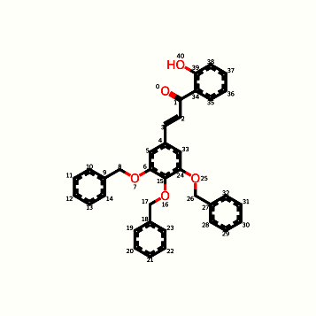 O=C(C=Cc1cc(OCc2ccccc2)c(OCc2ccccc2)c(OCc2ccccc2)c1)c1ccccc1O